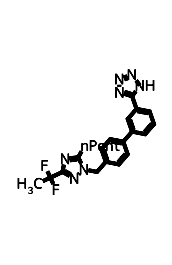 CCCCCc1nc(C(C)(F)F)nn1Cc1ccc(-c2cccc(-c3nnn[nH]3)c2)cc1